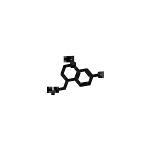 Cl.NCC1CCOc2cc(Cl)ccc21